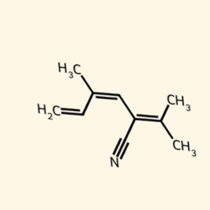 C=C/C(C)=C\C(C#N)=C(C)C